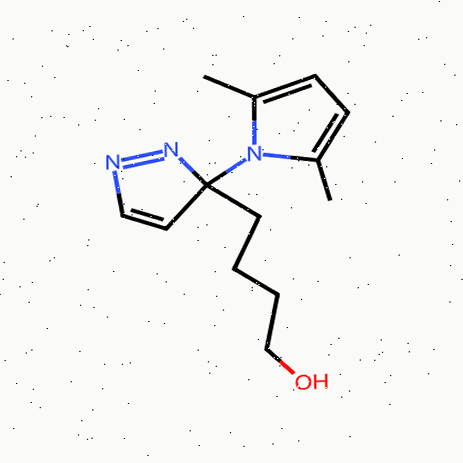 Cc1ccc(C)n1C1(CCCCO)C=CN=N1